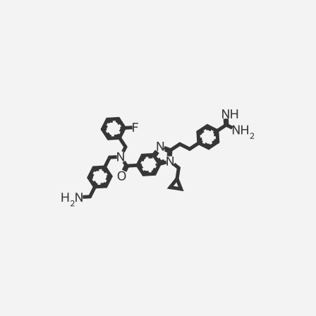 N=C(N)c1ccc(CCc2nc3cc(C(=O)N(Cc4ccc(CN)cc4)Cc4ccccc4F)ccc3n2CC2CC2)cc1